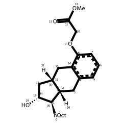 CCCCCCCC[C@@H]1[C@H]2Cc3cccc(OCC(=O)OC)c3C[C@H]2C[C@H]1O